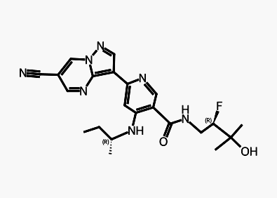 CC[C@@H](C)Nc1cc(-c2cnn3cc(C#N)cnc23)ncc1C(=O)NC[C@@H](F)C(C)(C)O